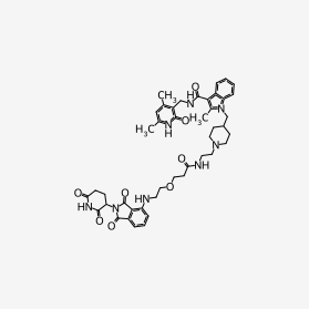 Cc1cc(C)c(CNC(=O)c2c(C)n(CC3CCN(CCNC(=O)CCOCCNc4cccc5c4C(=O)N(C4CCC(=O)NC4=O)C5=O)CC3)c3ccccc23)c(=O)[nH]1